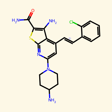 NC(=O)c1sc2nc(N3CCC(N)CC3)cc(/C=C/c3ccccc3Cl)c2c1N